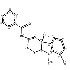 COC1CSC(NC(=O)c2ccccc2)=N[C@]1(C)c1cc(Br)ccn1